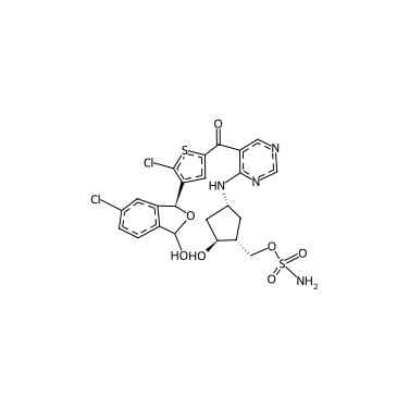 NS(=O)(=O)OC[C@H]1C[C@@H](Nc2ncncc2C(=O)c2cc([C@H]3OC(O)c4ccc(Cl)cc43)c(Cl)s2)C[C@@H]1O